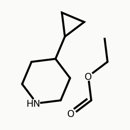 C1CC(C2CC2)CCN1.CCOC=O